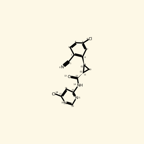 N#Cc1ccc(Cl)cc1[C@H]1C[C@@H]1C(=O)Nc1cc(Cl)ncn1